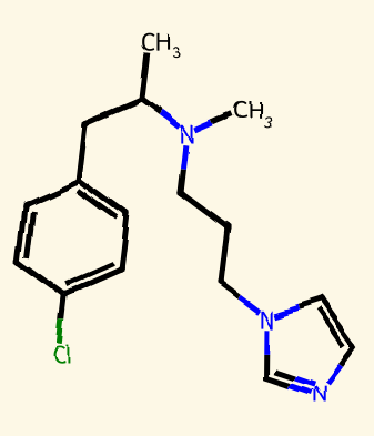 CC(Cc1ccc(Cl)cc1)N(C)CCCn1ccnc1